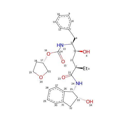 CC[C@H](C[C@H](O)[C@H](Cc1ccccc1)NC(=O)O[C@H]1CCOC1)C(=O)N[C@H]1c2ccccc2C[C@H]1O